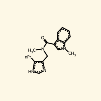 CCCc1[nH]cnc1CN(C)C(=O)c1cn(C)c2ccccc12